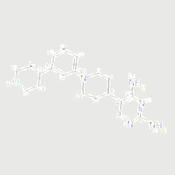 Nc1ncc(C2CCN(c3cccc(C4CCOCC4)c3)CC2)c(N)n1